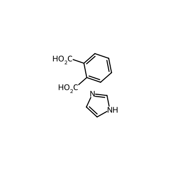 O=C(O)c1ccccc1C(=O)O.c1c[nH]cn1